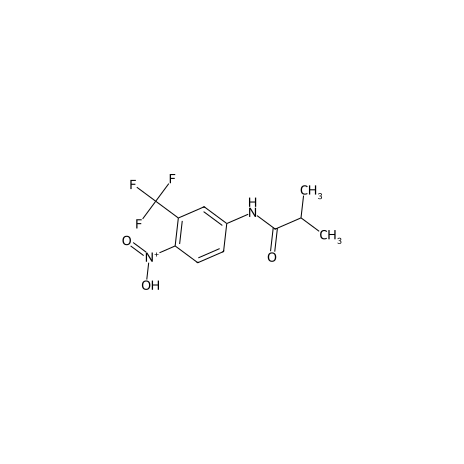 CC(C)C(=O)Nc1ccc([N+](=O)O)c(C(F)(F)F)c1